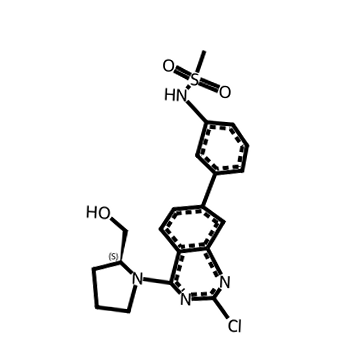 CS(=O)(=O)Nc1cccc(-c2ccc3c(N4CCC[C@H]4CO)nc(Cl)nc3c2)c1